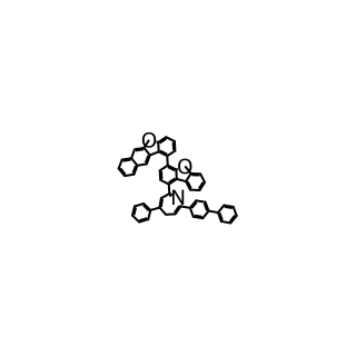 C1=C(c2ccccc2)CC=C(c2ccc(-c3ccccc3)cc2)N=C1c1ccc(-c2cccc3oc4cc5ccccc5cc4c23)c2oc3ccccc3c12